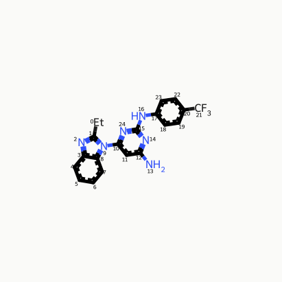 CCc1nc2ccccc2n1-c1cc(N)nc(Nc2ccc(C(F)(F)F)cc2)n1